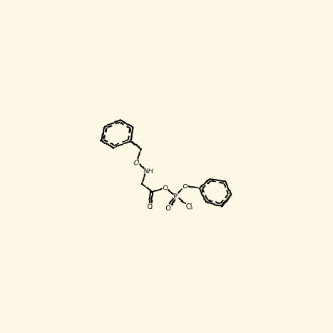 O=C(CNOCc1ccccc1)OP(=O)(Cl)Oc1ccccc1